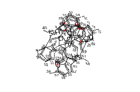 Cc1ccc(C2=C3c4ccccc4[C]2(c2ccccc2)[Hf]2([Cl])([Cl])([C]4(c5ccccc5)C(c5ccc(C)o5)=C(c5ccccc54)[SiH]3C)[C]3(c4ccccc4)C(c4ccc(C)o4)=C(c4ccccc43)[SiH](C)C3=C(c4ccc(C)o4)[C]2(c2ccccc2)c2ccccc23)o1